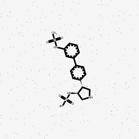 CC(C)S(=O)(=O)N[C@@H]1CNC[C@H]1c1ccc(-c2cccc(NS(C)(=O)=O)c2)cc1